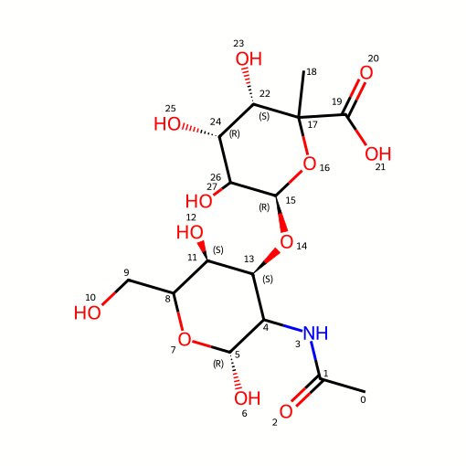 CC(=O)NC1[C@H](O)OC(CO)[C@@H](O)[C@H]1O[C@@H]1OC(C)(C(=O)O)[C@@H](O)[C@@H](O)C1O